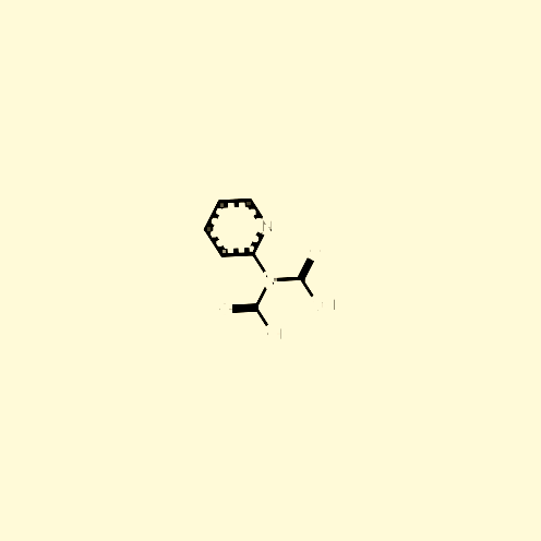 O=C(O)N(C(=O)O)c1ccccn1